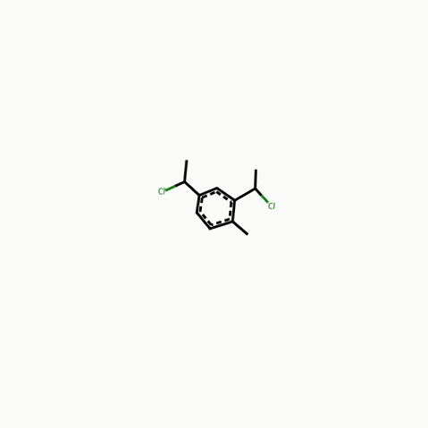 Cc1ccc(C(C)Cl)cc1C(C)Cl